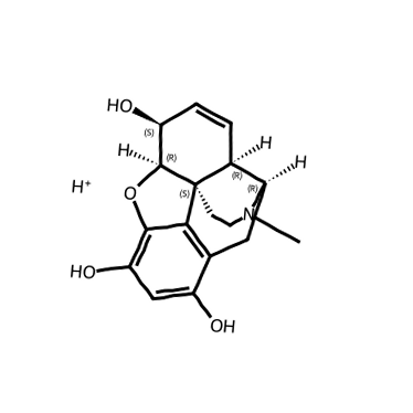 CN1CC[C@]23c4c5c(O)cc(O)c4O[C@H]2[C@@H](O)C=C[C@H]3[C@H]1C5.[H+]